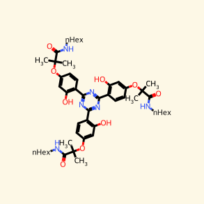 CCCCCCNC(=O)C(C)(C)Oc1ccc(-c2nc(-c3ccc(OC(C)(C)C(=O)NCCCCCC)cc3O)nc(-c3ccc(OC(C)(C)C(=O)NCCCCCC)cc3O)n2)c(O)c1